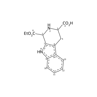 CCOC(=O)C1NC(C(=O)O)Cc2c1[nH]c1ccccc21